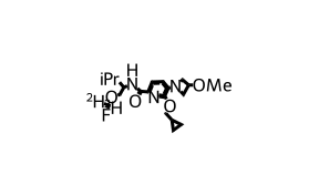 [2H]C([2H])(F)OCC(NC(=O)c1ccc(N2CC(OC)C2)c(OCC2CC2)n1)C(C)C